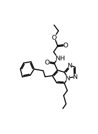 CCCCc1cc(CCc2ccccc2)c(C(=O)NCC(=O)OCC)c2ncnn12